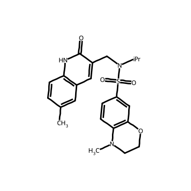 Cc1ccc2[nH]c(=O)c(CN(C(C)C)S(=O)(=O)c3ccc4c(c3)OCCN4C)cc2c1